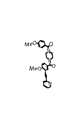 COc1ccc(C(=O)N2CCN(C(=O)c3ccc(OC)c(C#Cc4ccccn4)c3)CC2)cc1